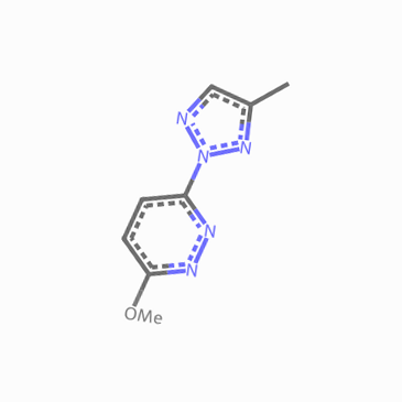 COc1ccc(-n2ncc(C)n2)nn1